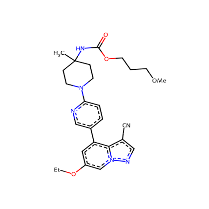 CCOc1cc(-c2ccc(N3CCC(C)(NC(=O)OCCCOC)CC3)nc2)c2c(C#N)cnn2c1